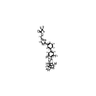 C=C1[C@H]2C[C@@H](NCc3c(F)cc(-c4cccc(-c5ncn(COC(=O)C(C)(C)C)n5)c4)cc3F)[C@H](C)[C@H]1C2